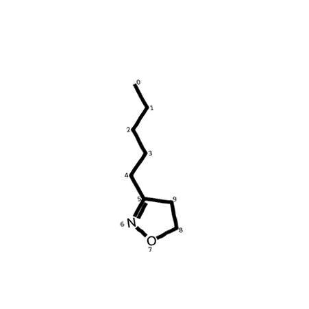 [CH2]CCCCC1=NOCC1